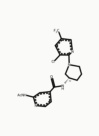 CC(=O)Nc1cc(C(=O)N[C@H]2CCCN(c3ncc(C(F)(F)F)cc3Cl)C2)ccn1